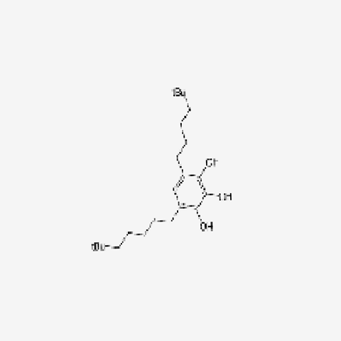 CC(C)(C)CCCCCc1cc(CCCCC(C)(C)C)c(O)c(O)c1O